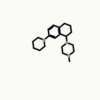 CN1CCN(C2CCCc3ccc(N4CCCCC4)cc32)CC1